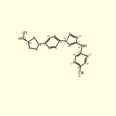 CCN[C@@H]1CCN(c2ccc(-n3cnc(Nc4cnc(C#N)cn4)c3)cc2)C1